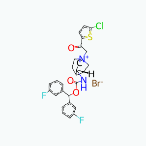 O=C(N[C@H]1C[N+]2(CC(=O)c3ccc(Cl)s3)CCC1CC2)OC(c1cccc(F)c1)c1cccc(F)c1.[Br-]